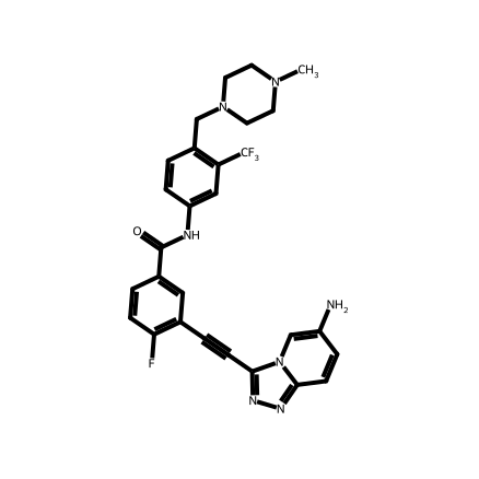 CN1CCN(Cc2ccc(NC(=O)c3ccc(F)c(C#Cc4nnc5ccc(N)cn45)c3)cc2C(F)(F)F)CC1